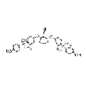 CC(C)(c1ccc(O)cc1)c1ccc(Oc2cccc(Oc3ccc(C(C)(C)c4ccc(O)cc4)cc3)c2C#N)cc1